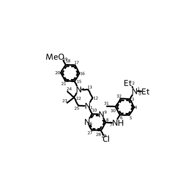 CCN(CC)c1ccc(Nc2nc(N3CCN(c4ccc(OC)cc4)C(C)(C)C3)ncc2Cl)c(C)c1